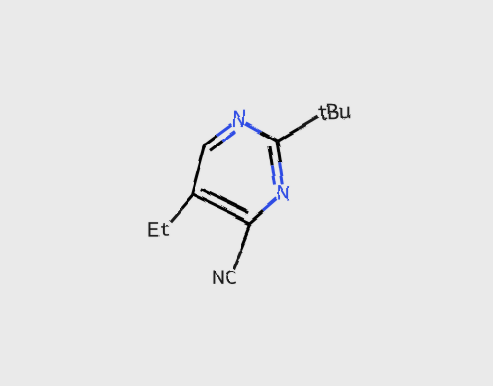 CCc1cnc(C(C)(C)C)nc1C#N